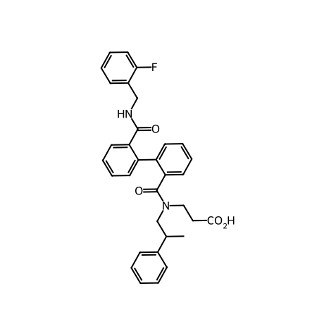 CC(CN(CCC(=O)O)C(=O)c1ccccc1-c1ccccc1C(=O)NCc1ccccc1F)c1ccccc1